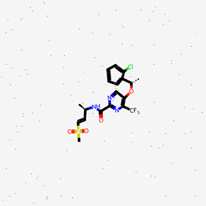 C[C@H](/C=C/S(C)(=O)=O)NC(=O)c1ncc(O[C@@H](C)c2ccccc2Cl)c(C(F)(F)F)n1